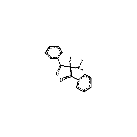 O=C(c1ccccc1)C(I)(B(F)F)C(=O)c1ccccc1